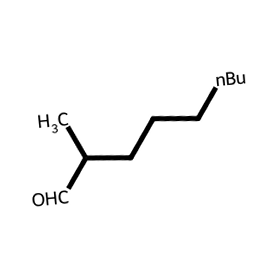 CCCCCCCC(C)C=O